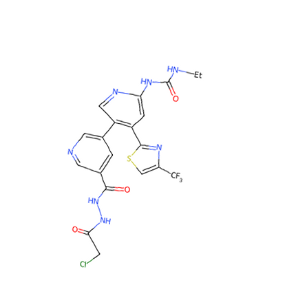 CCNC(=O)Nc1cc(-c2nc(C(F)(F)F)cs2)c(-c2cncc(C(=O)NNC(=O)CCl)c2)cn1